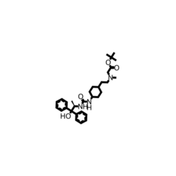 C[C@@H](NC(=O)NC1CCC(CCN(C)CC(=O)OC(C)(C)C)CC1)C(O)(c1ccccc1)c1ccccc1